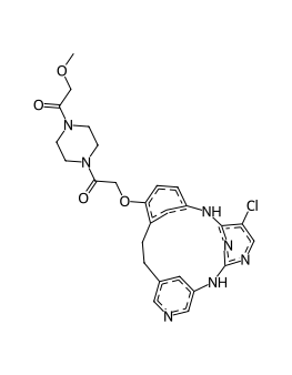 COCC(=O)N1CCN(C(=O)COc2ccc3cc2CCc2cncc(c2)Nc2ncc(Cl)c(n2)N3)CC1